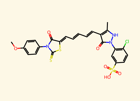 COc1ccc(N2C(=O)/C(=C/C=C/C=C/c3c(C)[nH]n(-c4cc(S(=O)(=O)O)ccc4Cl)c3=O)SC2=S)cc1